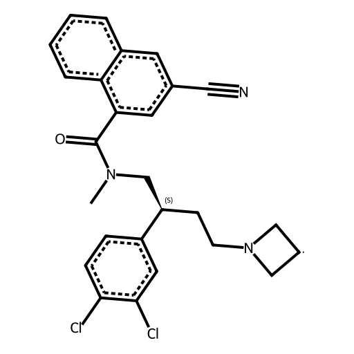 CN(C[C@@H](CCN1C[CH]C1)c1ccc(Cl)c(Cl)c1)C(=O)c1cc(C#N)cc2ccccc12